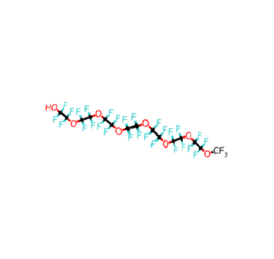 OC(F)(F)C(F)(F)OC(F)(F)C(F)(F)OC(F)(F)C(F)(F)OC(F)(F)C(F)(F)OC(F)(F)C(F)(F)OC(F)(F)C(F)(F)OC(F)(F)C(F)(F)OC(F)(F)F